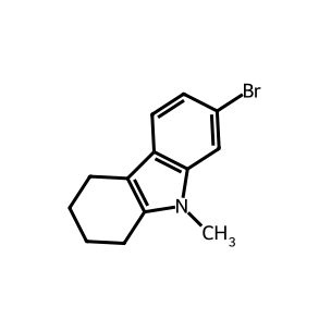 Cn1c2c(c3ccc(Br)cc31)CCCC2